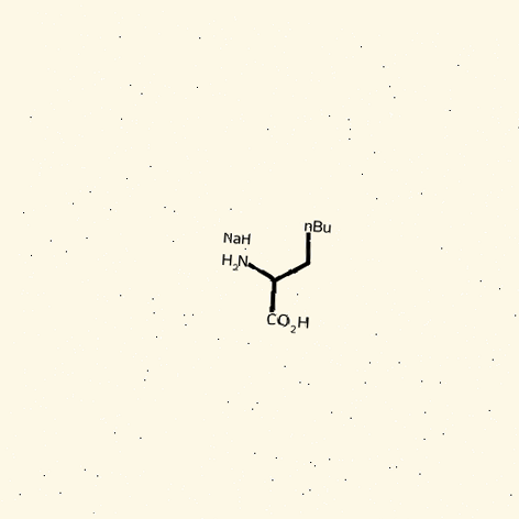 CCCCCC(N)C(=O)O.[NaH]